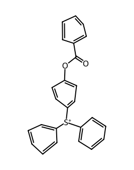 O=C(Oc1ccc([S+](c2ccccc2)c2ccccc2)cc1)c1ccccc1